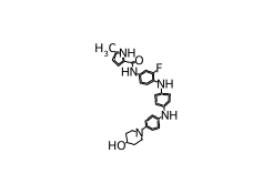 Cc1ccc(C(=O)Nc2ccc(Nc3ccc(Nc4ccc(N5CCC(O)CC5)cc4)cc3)c(F)c2)[nH]1